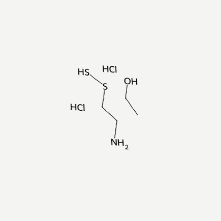 CCO.Cl.Cl.NCCSS